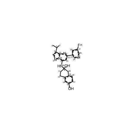 CC(C)c1cnn2c(N[C@]3(O)CCc4cc(O)ccc4C3)cc(-c3cncc(F)c3)nc12